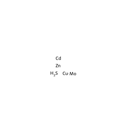 S.[Cd].[Cu].[Mo].[Zn]